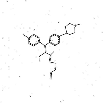 C=C\C=C/C=C(C)/C(CC)=C(/c1ccc(C)cc1)c1ccc(C2CCN(C)CC2)cc1